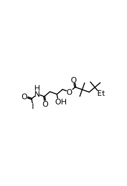 CCC(C)(C)CC(C)(C)C(=O)OCC(O)CC(=O)NC(=O)I